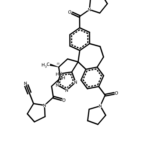 C[C@@H](CC1(c2nnn[nH]2)c2ccc(C(=O)N3CCCC3)cc2CCc2cc(C(=O)N3CCCC3)ccc21)NCC(=O)N1CCCC1C#N